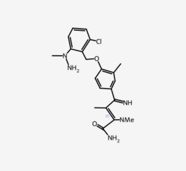 CN/C(C(N)=O)=C(/C)C(=N)c1ccc(OCc2c(Cl)cccc2N(C)N)c(C)c1